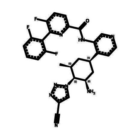 C[C@H]1C[C@@H](c2ccncc2NC(=O)c2ccc(F)c(-c3c(F)cccc3F)n2)C[C@@H](N)[C@H]1n1cc(C#N)nn1